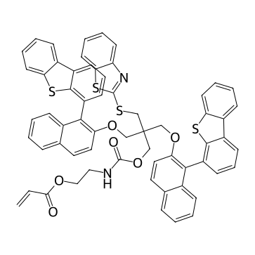 C=CC(=O)OCCNC(=O)OCC(COc1ccc2ccccc2c1-c1cccc2c1sc1ccccc12)(COc1ccc2ccccc2c1-c1cccc2c1sc1ccccc12)CSc1nc2ccccc2s1